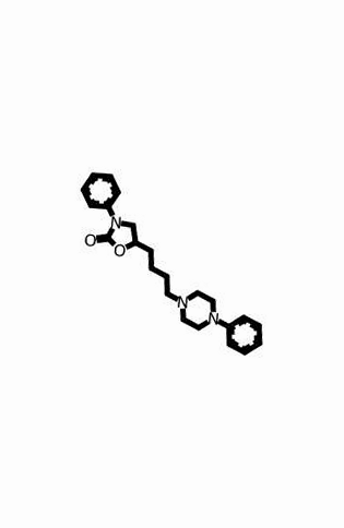 O=C1OC(CCCCN2CCN(c3ccccc3)CC2)CN1c1ccccc1